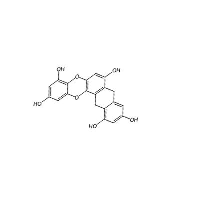 Oc1cc(O)c2c(c1)Cc1c(O)cc3c(c1C2)Oc1cc(O)cc(O)c1O3